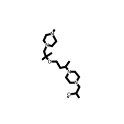 COC(C)CN1CCN(C(C)CCOC(C)(C)CN2CCN(C)CC2)CC1